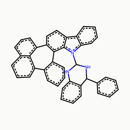 c1ccc(C2NC(n3c4ccccc4c4ccc5c(c43)-c3ccccc3-c3cccc4cccc-5c34)Nc3ccccc32)cc1